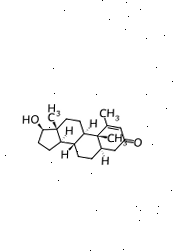 CC1=CC(=O)C[C@H]2CC[C@@H]3[C@H]4CC[C@@H](O)[C@]4(C)CC[C@H]3[C@]12C